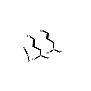 CCC=CCP(C(C)C)C(C)C.CCC=CCP(C(C)C)C(C)C.[Cl][Pd][Cl]